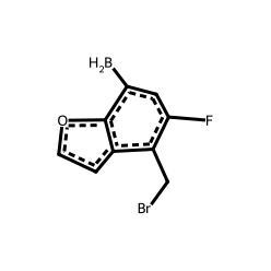 Bc1cc(F)c(CBr)c2ccoc12